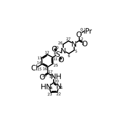 CC(C)OC(=O)N1CCN(S(=O)(=O)c2ccc(Cl)c(C(=O)Nc3ncc[nH]3)c2)CC1